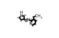 CCc1cccnc1NO[C@@H]1CCNC1